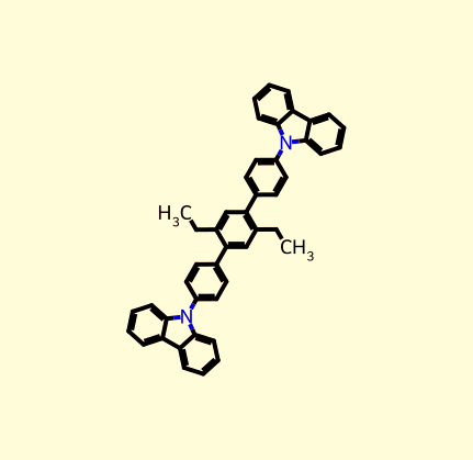 CCc1cc(-c2ccc(-n3c4ccccc4c4ccccc43)cc2)c(CC)cc1-c1ccc(-n2c3ccccc3c3ccccc32)cc1